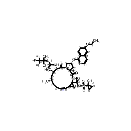 CCOc1ccc2c(O[C@@H]3C[C@H]4C(=O)NC5(C(=O)NS(=O)(=O)C6(C)CC6)CC5/C=C\CC[C@H](C)C[C@@H](C)[C@H](NC(=O)NC(C)(C)C(F)(F)F)C(=O)N4C3)nccc2c1